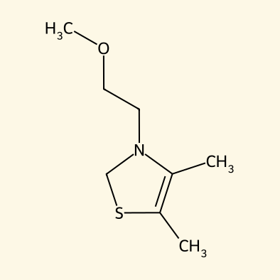 COCCN1CSC(C)=C1C